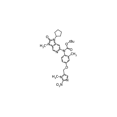 Cc1cc(OCc2cnc([N+](=O)[O-])n2C)ccc1N(C(=O)OC(C)(C)C)c1cc2c(cn1)n(C)c(=O)n2C1CCCC1